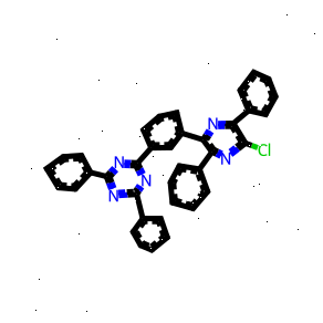 Clc1nc(-c2ccccc2)c(-c2cccc(-c3nc(-c4ccccc4)nc(-c4ccccc4)n3)c2)nc1-c1ccccc1